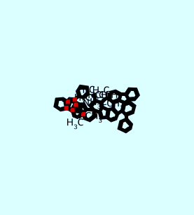 Cc1cc2c(c(-c3c(-c4ccccc4-c4ccccc4)ccc4c3C3=C(C(C)(C)C)C(C(C)(C)C)=C(N(c5ccccc5-c5ccccc5)c5c(C)c(C)cc6c5Cc5ccccc5-6)C5(C=CC=C6C5=Cc5ccccc56)C3=C4)c1C)Cc1ccccc1-2